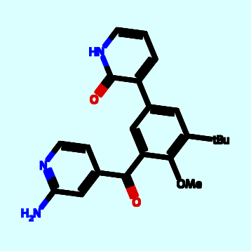 COc1c(C(=O)c2ccnc(N)c2)cc(-c2ccc[nH]c2=O)cc1C(C)(C)C